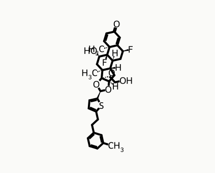 Cc1cccc(CCc2ccc([C@@H]3O[C@@H]4C[C@H]5[C@@H]6C[C@H](F)C7=CC(=O)C=C[C@]7(C)[C@@]6(F)[C@@H](O)C[C@]5(C)[C@]4(C(=O)CO)O3)s2)c1